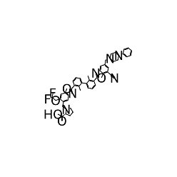 Cc1c(-c2nc3cc(CN4CCC[C@H]4C(=O)O)c(OC(F)F)cc3o2)cccc1-c1cccc(-c2nc3cc(CN4CCN(c5ccccc5)CC4)cc(C#N)c3o2)c1C